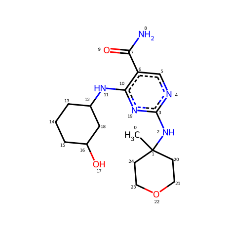 CC1(Nc2ncc(C(N)=O)c(NC3CCCC(O)C3)n2)CCOCC1